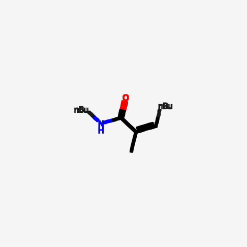 CCCCC=C(C)C(=O)NCCCC